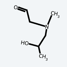 CC(O)CN(C)CC=O